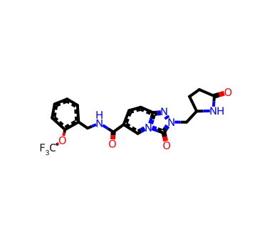 O=C1CCC(Cn2nc3ccc(C(=O)NCc4ccccc4OC(F)(F)F)cn3c2=O)N1